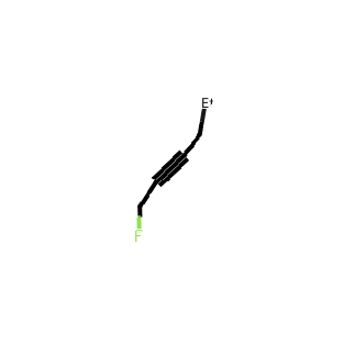 CCCC#CCF